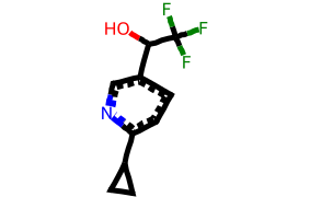 OC(c1ccc(C2CC2)nc1)C(F)(F)F